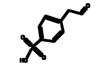 O=CCc1ccc(S(=O)(=O)O)cc1